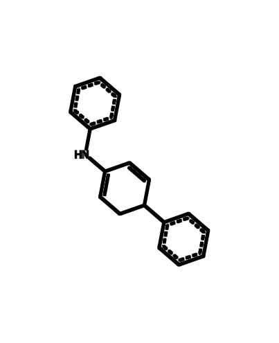 C1=CC(c2ccccc2)CC=C1Nc1ccccc1